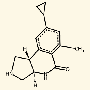 Cc1cc(C2CC2)cc2c1C(=O)N[C@H]1CNC[C@H]21